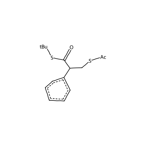 CC(=O)SCC(C(=O)SC(C)(C)C)c1ccccc1